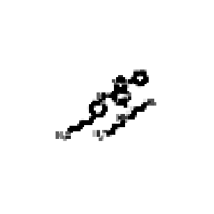 CCCCCC1CCN(Nc2nc(Cl)nc3c2ncn3C2CCCC2)CC1.CCCCNCCCC